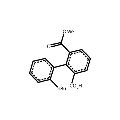 CCCCc1ccccc1-c1c(C(=O)O)cccc1C(=O)OC